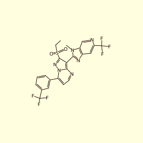 CCS(=O)(=O)c1nn2c(-c3cccc(C(F)(F)F)c3)ccnc2c1-c1nc2cc(C(F)(F)F)ncc2n1C